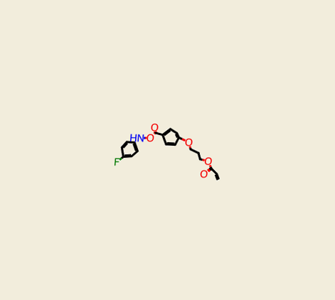 C=CC(=O)OCCCOc1ccc(C(=O)ONc2ccc(F)cc2)cc1